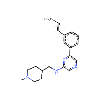 CN1CCC(CNc2cncc(-c3cccc(/C=C/C(=O)O)c3)n2)CC1